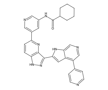 O=C(Nc1cncc(-c2ccc3[nH]nc(-c4cc5c(-c6ccncc6)cncc5[nH]4)c3n2)c1)C1CCCCC1